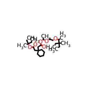 CCC(C)(CC)OC(=O)CC1(CC(=O)OC(C)OCCOC(C)C(C)(CC)CC)CCCCC1